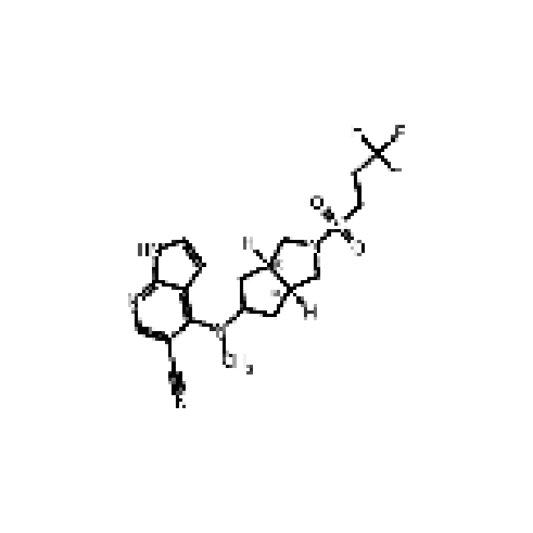 CN(c1c(C#N)cnc2[nH]ccc12)C1C[C@@H]2CN(S(=O)(=O)CCC(F)(F)F)C[C@@H]2C1